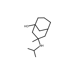 CC(C)NC1(C)CC2CCCC(O)(C2)C1